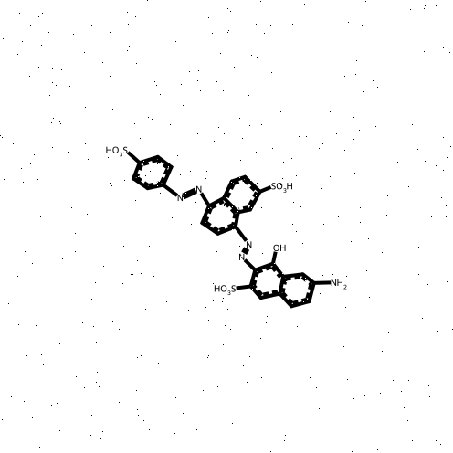 Nc1ccc2cc(S(=O)(=O)O)c(N=Nc3ccc(N=Nc4ccc(S(=O)(=O)O)cc4)c4ccc(S(=O)(=O)O)cc34)c(O)c2c1